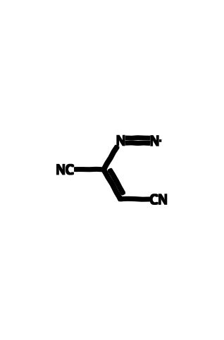 [N]=NC(C#N)=CC#N